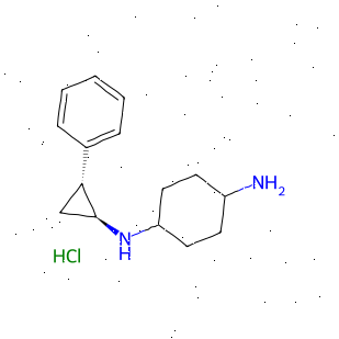 Cl.NC1CCC(N[C@H]2C[C@@H]2c2ccccc2)CC1